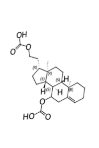 C[C@]12CC[C@H]3[C@@H](C(OC(=O)O)CC4=CCCC[C@@]43C)[C@@H]1CC[C@@H]2CCOC(=O)O